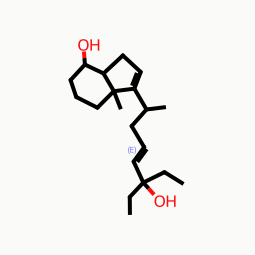 CCC(O)(/C=C/CC(C)C1=CCC2C(O)CCCC12C)CC